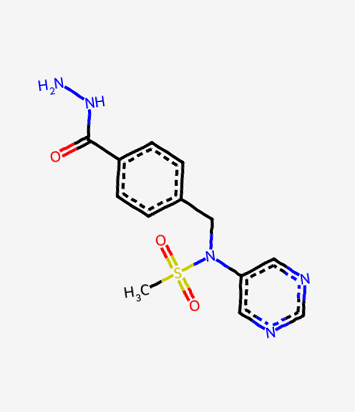 CS(=O)(=O)N(Cc1ccc(C(=O)NN)cc1)c1cncnc1